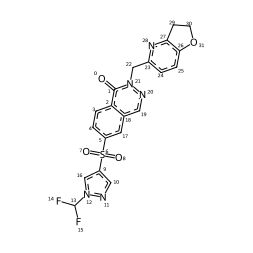 O=c1c2ccc(S(=O)(=O)c3cnn(C(F)F)c3)cc2cnn1Cc1ccc2c(n1)CCO2